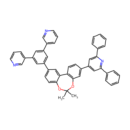 CC1(C)Oc2cc(-c3cc(-c4ccccc4)nc(-c4ccccc4)c3)ccc2-c2cc(-c3cc(-c4cccnc4)cc(-c4cccnc4)c3)ccc2O1